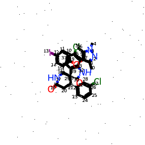 Cc1nn(C)c(C)c1Oc1ccc(I)cc1[C@H]1NC(=O)C[C@@H](c2cccc(Cl)c2)[C@]12C(=O)Nc1cc(Cl)ccc12